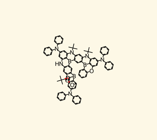 CC(C)(C)N1c2cc3c(cc2B2c4cc5c(cc4Nc4cc(N(c6ccccc6)c6ccccc6)cc1c42)N(C(C)(C)C)c1cc(N(c2ccccc2)c2ccccc2)cc2c1B5c1ccccc1O2)B1c2ccccc2Oc2cc(N(c4ccccc4)c4ccccc4)cc(c21)N3C(C)(C)C